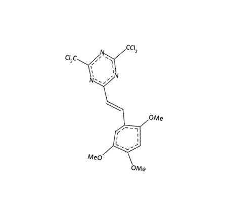 COc1cc(OC)c(OC)cc1C=Cc1nc(C(Cl)(Cl)Cl)nc(C(Cl)(Cl)Cl)n1